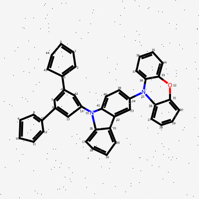 c1ccc(-c2cc(-c3ccccc3)cc(-n3c4ccccc4c4cc(N5c6ccccc6Oc6ccccc65)ccc43)c2)cc1